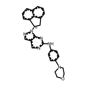 c1cc2c3c(cccc3c1)[C@H](n1ncc3cnc(Nc4ccc(N5CCOCC5)cc4)nc31)C2